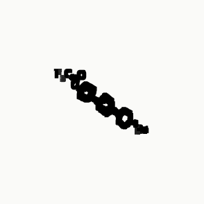 CCC(C)CC1CCC(c2ccc(-c3ccc(OC(=O)C(F)(F)F)cc3)cc2)CC1